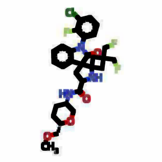 COC[C@@H]1CC[C@@H](NC(=O)C2CC3(C(=O)N(c4cccc(Cl)c4F)c4ccccc43)C3(CC(CF)(CF)C3)N2)CO1